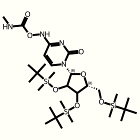 CNC(=O)ONc1ccn([C@@H]2O[C@H](CO[Si](C)(C)C(C)(C)C)C(O[Si](C)(C)C(C)(C)C)C2O[Si](C)(C)C(C)(C)C)c(=O)n1